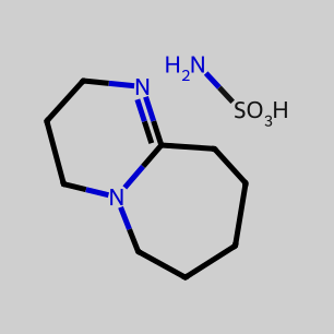 C1CCC2=NCCCN2CC1.NS(=O)(=O)O